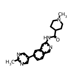 Cc1ncc(-c2ccc3cnc(NC(=O)C4CCN(C)CC4)cc3c2)cn1